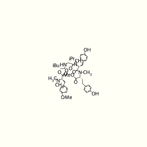 CC[C@@H](C)[C@@H](OC(=O)[C@@H](Cc1ccc(OC)cc1)N(C)C)C(=O)N[C@@H](C(=O)N(C)[C@@H](Cc1ccc(O)cc1)C(=O)N(C)[C@H](CCc1ccc(O)cc1)C(=O)OC)C(C)C